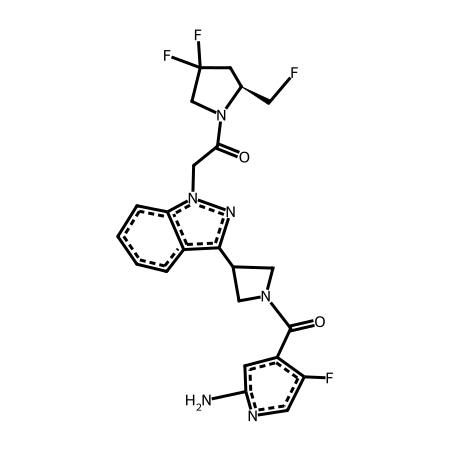 Nc1cc(C(=O)N2CC(c3nn(CC(=O)N4CC(F)(F)C[C@H]4CF)c4ccccc34)C2)c(F)cn1